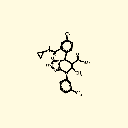 COC(=O)C1=C(C)N(c2cccc(C(F)(F)F)c2)c2n[nH]c(=O)n2C1c1ccc(C#N)cc1C(=O)NC1CC1